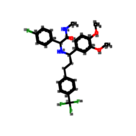 CNC(=O)C(N[C@H](CCc1ccc(C(F)(F)F)cc1)c1ccc(OC)c(OC)c1)c1ccc(F)cc1